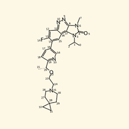 CC(C)n1c(=O)n(C)c2nnc3cc(F)c(-c4ccc([C@@H](C)OCCN5CCC6(CC5)CC6)nc4)cc3c21